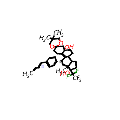 C=C/C=C/c1ccc([C@H]2CC3(C)C(CCC3(O)C(F)(F)C(F)(F)F)C3CCC4(O)CC5(CCC4=C32)OCC(C)(C)CO5)cc1